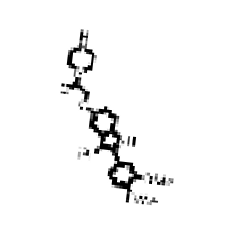 COc1ccc(-c2[nH]c3ccc(OCC(=O)N4CCNCC4)cc3c2C(C)C)cc1OC